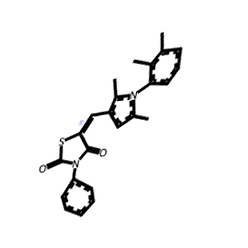 Cc1cccc(-n2c(C)cc(/C=C3/SC(=O)N(c4ccccc4)C3=O)c2C)c1C